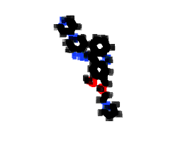 COc1cc2c(NC3CCN(c4ccncc4)CC3)c3c(nc2cc1COCCN1CCCC1)CCCC3